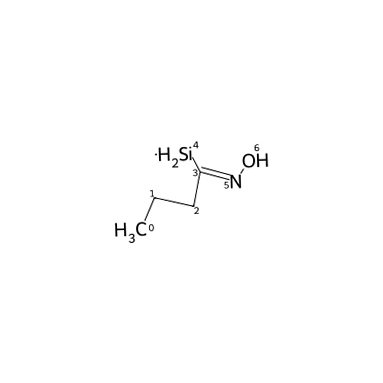 CCCC([SiH2])=NO